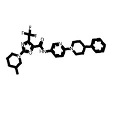 CC1CCCN(c2nc(C(F)(F)F)c(C(=O)Nc3ccc(N4CCC(c5ccccc5)CC4)nc3)o2)C1